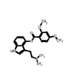 COc1ccc(C(=O)Oc2cccc3[nH]cc(CCN(C)C)c23)c(OC)c1